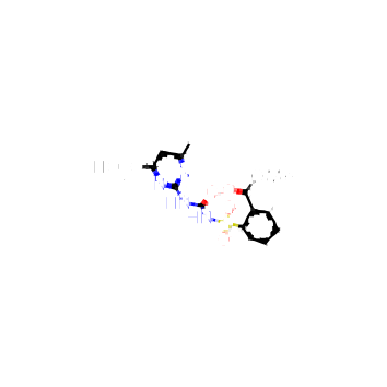 COC(=O)c1ccccc1S(=O)(=O)NC(=O)Nc1nc(C)cc(C(=O)O)n1